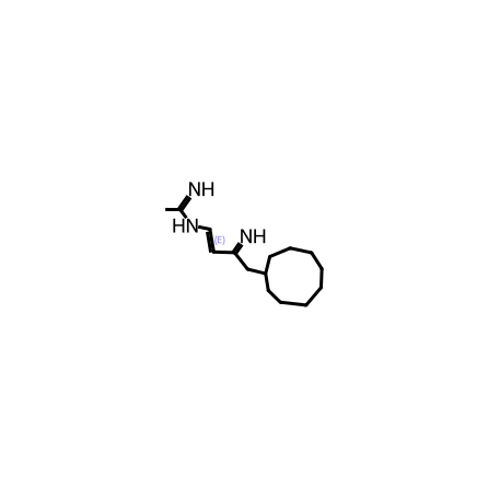 CC(=N)N/C=C/C(=N)CC1CCCCCCCC1